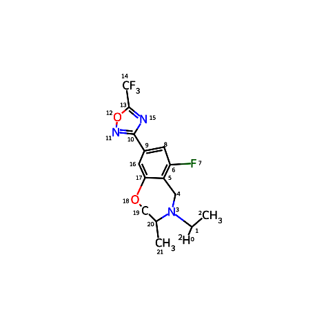 [2H]C(C)N1Cc2c(F)cc(-c3noc(C(F)(F)F)n3)cc2OCC1C